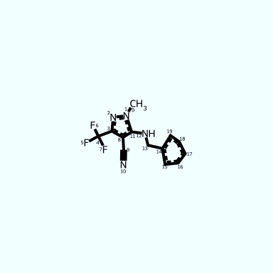 Cn1nc(C(F)(F)F)c(C#N)c1NCc1ccccc1